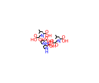 CC(C)C[C@@H](C(=O)O)N(C)CC(=O)C(=O)O.CC(C)C[C@@H](C(=O)O)N(C)CC(O)C(=O)O.O=C(O)[C@@H]1CCCN1.O=C(O)[C@@H]1CCCN1